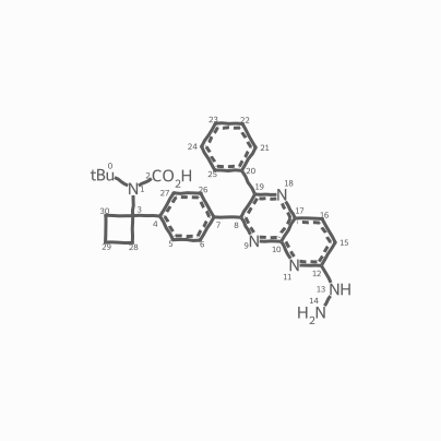 CC(C)(C)N(C(=O)O)C1(c2ccc(-c3nc4nc(NN)ccc4nc3-c3ccccc3)cc2)CCC1